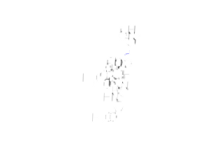 COC(=O)[C@H]1[C@H]2C[C@@H]3c4[nH]c5cc(OC)ccc5c4CCN3C[C@H]2C[C@@H](OC(=O)/C=C/c2ccnc(OC)c2)[C@@H]1OC